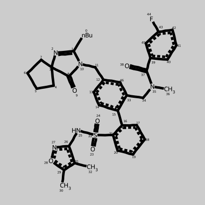 CCCCC1=NC2(CCCC2)C(=O)N1Cc1ccc(-c2ccccc2S(=O)(=O)Nc2noc(C)c2C)c(CN(C)C(=O)c2cccc(F)c2)c1